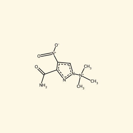 C[N+](C)(C)n1cc([N+](=O)[O-])c(C(N)=O)n1